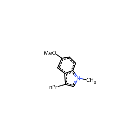 CCCc1cn(C)c2ccc(OC)cc12